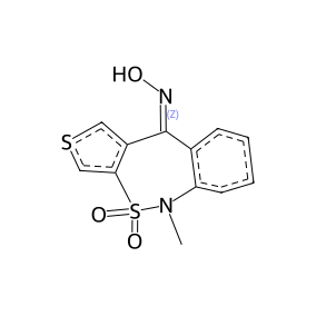 CN1c2ccccc2/C(=N/O)c2cscc2S1(=O)=O